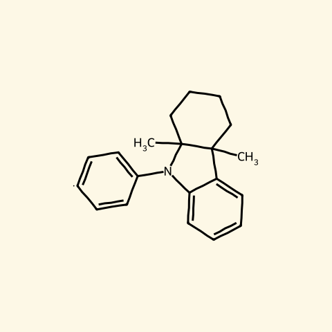 CC12CCCCC1(C)N(c1cc[c]cc1)c1ccccc12